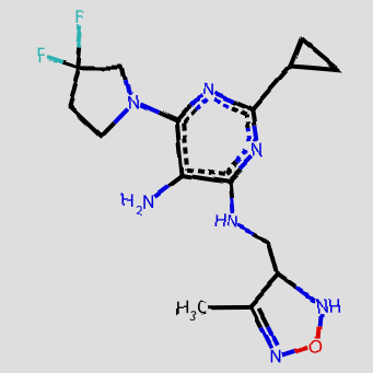 CC1=NONC1CNc1nc(C2CC2)nc(N2CCC(F)(F)C2)c1N